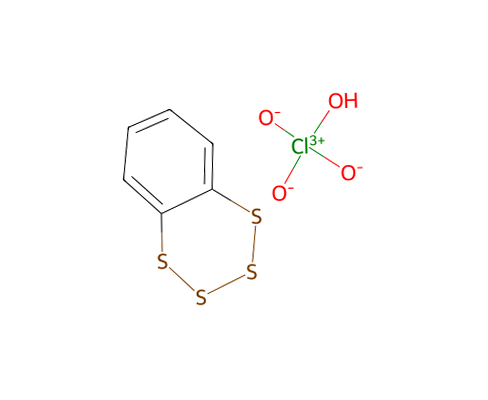 [O-][Cl+3]([O-])([O-])O.c1ccc2ssssc2c1